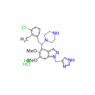 COc1cc2c(cnn2Cc2c[nH]cn2)c(C(Cc2cccc(Cl)c2C)N2CCNCC2)c1OC.Cl.Cl